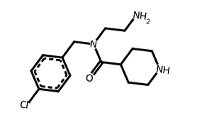 NCCN(Cc1ccc(Cl)cc1)C(=O)C1CCNCC1